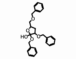 OC1(OCc2ccccc2)OC(COCc2ccccc2)CC1OCc1ccccc1